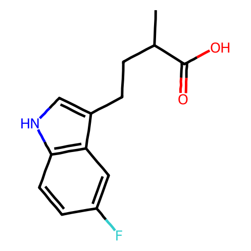 CC(CCc1c[nH]c2ccc(F)cc12)C(=O)O